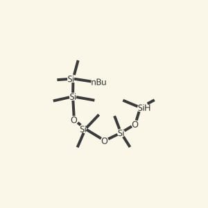 CCCC[Si](C)(C)[Si](C)(C)O[Si](C)(C)O[Si](C)(C)O[SiH](C)C